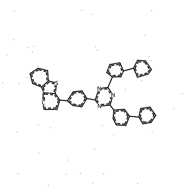 c1ccc(-c2cccc(-c3nc(-c4ccc(-c5cccc6c5sc5ccccc56)cc4)nc(-c4cccc(-c5ccccc5)c4)n3)c2)cc1